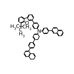 CC(C)(C)c1cccc2c1oc1c(-c3ccc(N(C4=CC=C(c5ccc(-c6cccc7c6C=CCC7)cc5)CC4)c4ccc(-c5ccc6ccccc6c5)cc4)cc3)cccc12